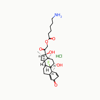 C[C@H]1C[C@H]2[C@@H]3CCC4=CC(=O)C=C[C@]4(C)[C@@]3(F)[C@@H](O)C[C@]2(C)[C@@]1(O)C(=O)COC(=O)CCCCCN.Cl